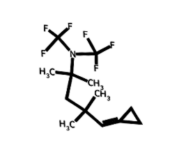 CC(C)(C=C1CC1)CC(C)(C)N(C(F)(F)F)C(F)(F)F